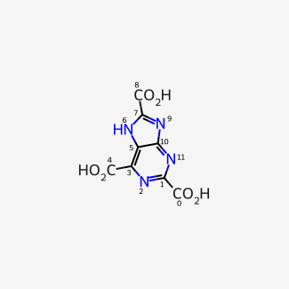 O=C(O)c1nc(C(=O)O)c2[nH]c(C(=O)O)nc2n1